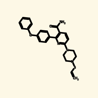 C=CSN1CCN(c2ccc(C(N)=O)c(-c3ccc(Oc4ccccc4)cc3)n2)CC1